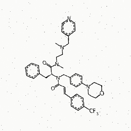 CN(CCN(C)C(=O)[C@H](Cc1ccccc1)N(Cc1ccc(N2CCOCC2)cc1)C(=O)C=Cc1ccc(C(F)(F)F)cc1)Cc1ccncc1